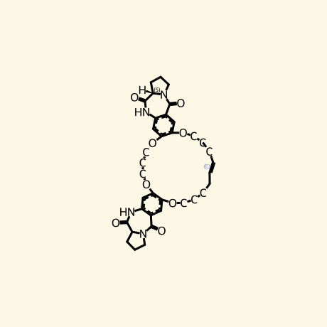 O=C1Nc2cc3c(cc2C(=O)N2CCCC12)OCCCC/C=C/CCCOc1cc2c(cc1OCCCO3)NC(=O)[C@@H]1CCCN1C2=O